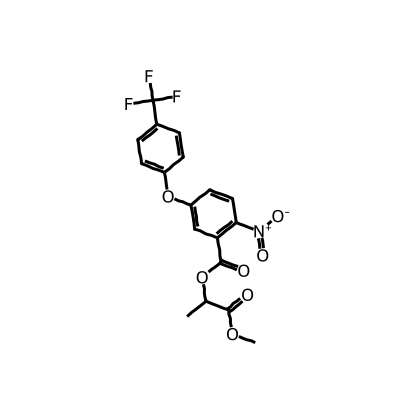 COC(=O)C(C)OC(=O)c1cc(Oc2ccc(C(F)(F)F)cc2)ccc1[N+](=O)[O-]